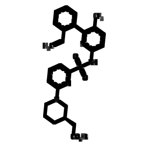 C=Cc1ccccc1-c1nc(NS(=O)(=O)c2cccc(N3CCC[C@H](CC(=O)OCC)C3)n2)ccc1C(F)(F)F